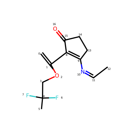 C=C(OCC(C)(F)F)C1=C(/N=C\C)CCC1=O